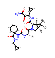 CC(C)(C)[C@H](NC(=O)NC1(C(=O)NCC2CC2)CCCCC1)C(=O)N1C[C@H]2[C@@H]([C@H]1C(=O)NC(C(=O)C(N)=O)C1CC1)C2(C)C